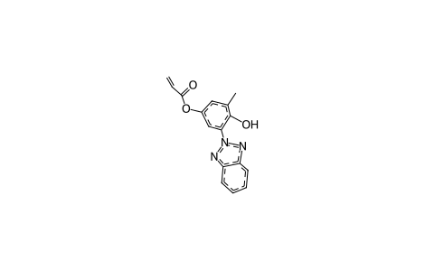 C=CC(=O)Oc1cc(C)c(O)c(-n2nc3ccccc3n2)c1